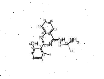 Cc1cccc(O)c1-c1nc(NC[C@@H](C)N)c2ccccc2n1